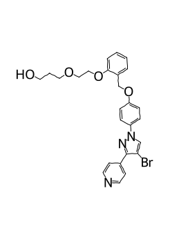 OCCCOCCOc1ccccc1COc1ccc(-n2cc(Br)c(-c3ccncc3)n2)cc1